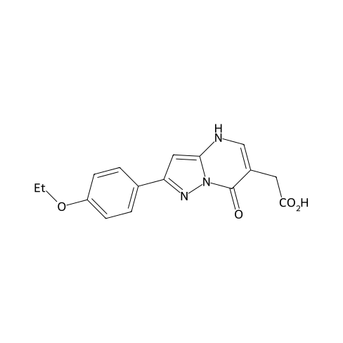 CCOc1ccc(-c2cc3[nH]cc(CC(=O)O)c(=O)n3n2)cc1